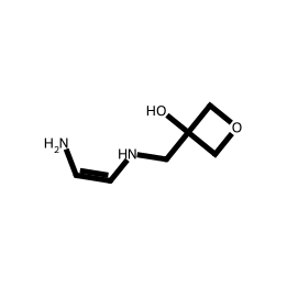 N/C=C\NCC1(O)COC1